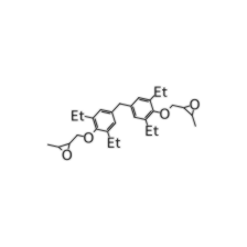 CCc1cc(Cc2cc(CC)c(OCC3OC3C)c(CC)c2)cc(CC)c1OCC1OC1C